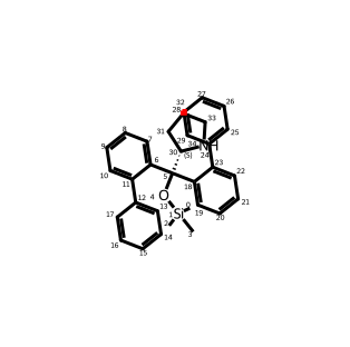 C[Si](C)(C)OC(c1ccccc1-c1ccccc1)(c1ccccc1-c1ccccc1)[C@@H]1CCCN1